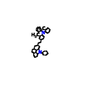 Cc1ccccc1N(c1ccc(/C=C/c2cc3ccc4cccc5c4c3c(c2)n5-c2ccccc2)cc1)c1ccccc1C